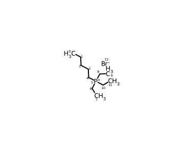 CCCCC[P+](CC)(CC)CC.[Br-]